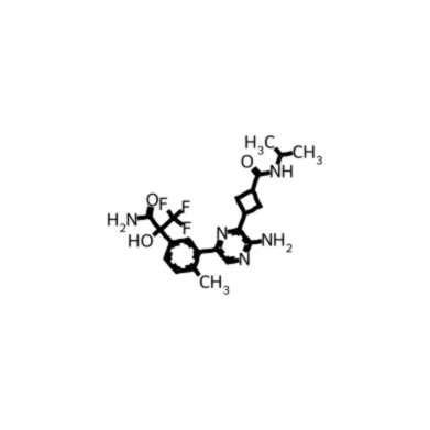 Cc1ccc(C(O)(C(N)=O)C(F)(F)F)cc1-c1cnc(N)c(C2CC(C(=O)NC(C)C)C2)n1